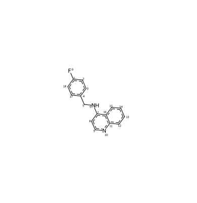 Fc1ccc(CNc2ccnc3ccccc23)cc1